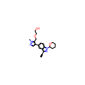 C#Cc1nn(C2CCCCO2)c2ccc(-c3cnn(C)c3COCCO)cc12